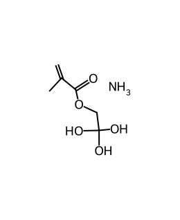 C=C(C)C(=O)OCC(O)(O)O.N